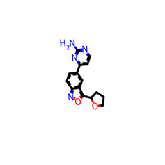 Nc1nccc(-c2ccc3noc(C4CCCO4)c3c2)n1